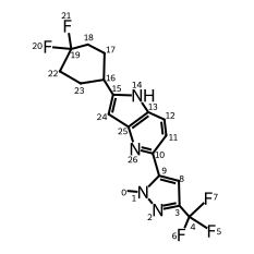 Cn1nc(C(F)(F)F)cc1-c1ccc2[nH]c(C3CCC(F)(F)CC3)cc2n1